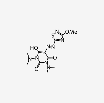 COc1nsc(N=Nc2c(O)n(N(C)C)c(=O)n(N(C)C)c2=O)n1